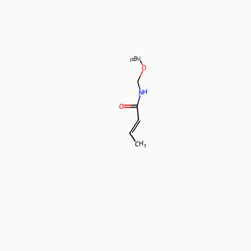 CC=CC(=O)NCOCCCC